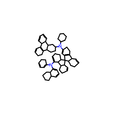 C1=CCCC(N(C2=CC=CC3CCCCC23)C2=CCCC3C2C2CCC=CC2C32C3=C(CCC(N(C4CCCCC4)C4CCC5C6=C(C=CCC6)C6C=CC=CC6C5C4)=C3)C3C=CCCC32)=C1